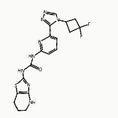 O=C(Nc1cccc(-c2nncn2C2CC(F)(F)C2)n1)Nc1nc2c(s1)CCCN2